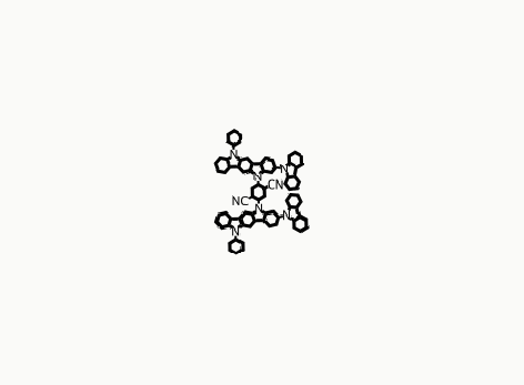 N#Cc1cc(-n2c3cc(-n4c5ccccc5c5ccccc54)ccc3c3cc4c(cc32)c2ccccc2n4-c2ccccc2)c(C#N)cc1-n1c2cc(-n3c4ccccc4c4ccccc43)ccc2c2cc3c(cc21)c1ccccc1n3-c1ccccc1